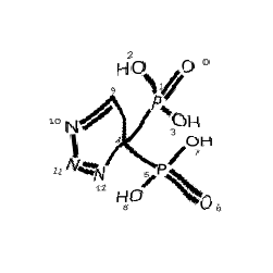 O=P(O)(O)C1(P(=O)(O)O)C=NN=N1